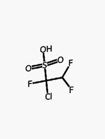 O=S(=O)(O)C(F)(Cl)C(F)F